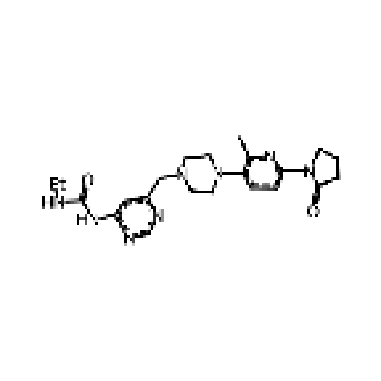 CCNC(=O)Nc1cc(CN2CCN(c3ccc(N4CCCC4=O)nc3C)CC2)ncn1